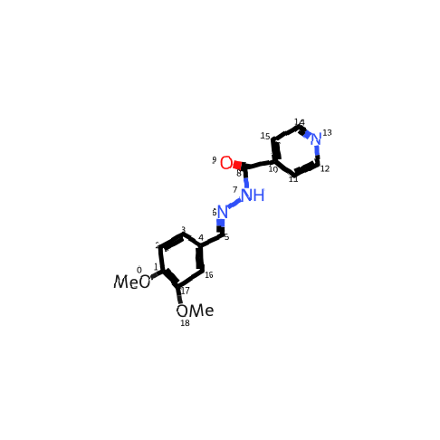 COc1ccc(/C=N/NC(=O)c2ccncc2)cc1OC